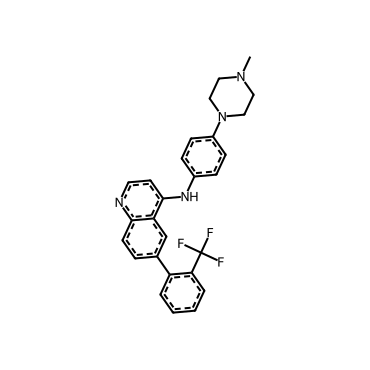 CN1CCN(c2ccc(Nc3ccnc4ccc(-c5ccccc5C(F)(F)F)cc34)cc2)CC1